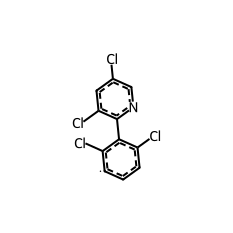 Clc1cnc(-c2c(Cl)[c]ccc2Cl)c(Cl)c1